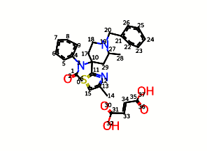 CC(=O)N(c1ccccc1)C1(c2nc(C)cs2)CCN(Cc2ccccc2)C(C)C1.O=C(O)C=CC(=O)O